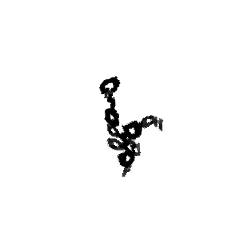 O=C(c1ccc(F)cc1Cl)c1sc2cc(O)ccc2c1Oc1ccc(CCN2CCCCCC2)cc1